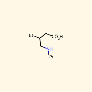 CCC(CNC(C)C)CC(=O)O